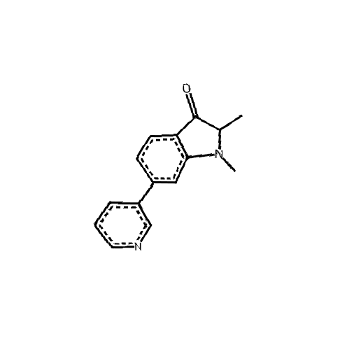 CC1C(=O)c2ccc(-c3cccnc3)cc2N1C